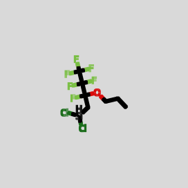 CCCOC(F)(C[SiH](Cl)Cl)C(F)(F)C(F)(F)F